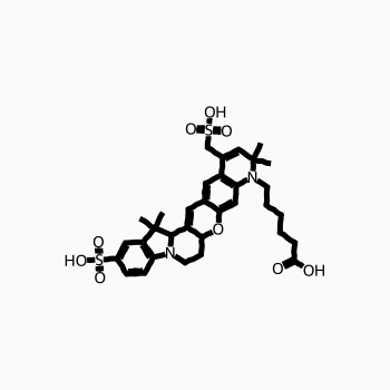 CC1(C)c2cc(S(=O)(=O)O)ccc2N2CCC3Oc4cc5c(cc4C=C3C21)C(CS(=O)(=O)O)=CC(C)(C)N5CCCCCC(=O)O